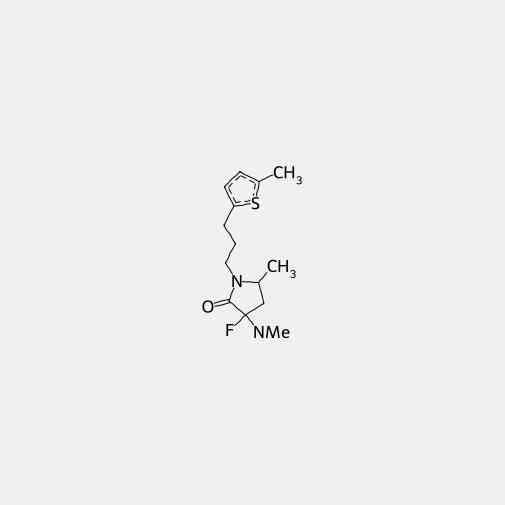 CNC1(F)CC(C)N(CCCc2ccc(C)s2)C1=O